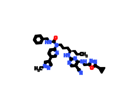 CCC[C@@H](CCCN(C(=O)NCc1ccccc1)c1ccc(-c2cnn(C)c2)cn1)Nc1ncc(C#N)c(NCc2nnc(C3CC3)o2)n1